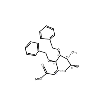 CC[C@H]1O/C(=C/C(=O)OC)[C@@H](OCc2ccccc2)[C@@H](OCc2ccccc2)[C@@H]1C